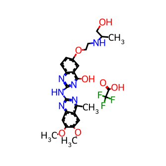 COc1cc2nc(Nc3nc(O)c4cc(OCCNC(C)CO)ccc4n3)nc(C)c2cc1OC.O=C(O)C(F)(F)F